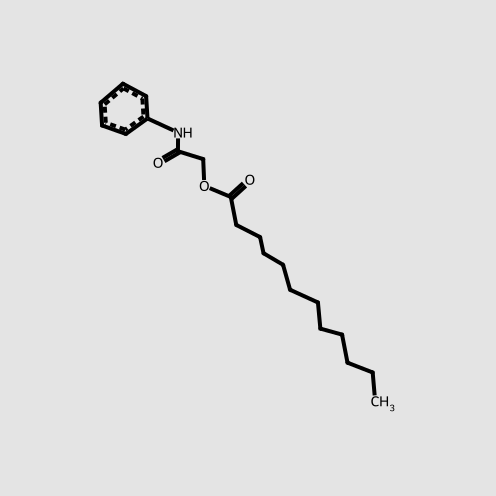 CCCCCCCCCCCC(=O)OCC(=O)Nc1ccccc1